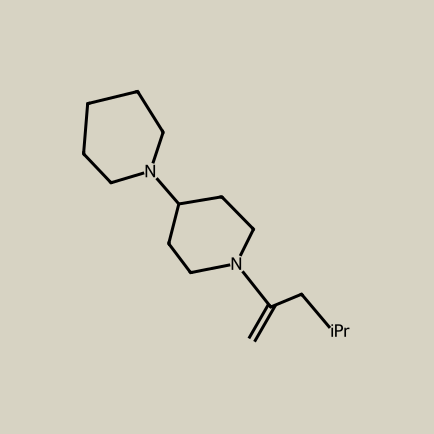 C=C(CC(C)C)N1CCC(N2CCCCC2)CC1